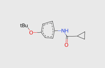 CC(C)(C)Oc1ccc(NC(=O)C2CC2)cc1